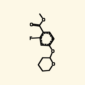 COC(=O)c1ccc(OC2CCCCO2)cc1F